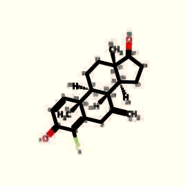 C=C1CC2=C(F)C(=O)C=C[C@]2(C)[C@H]2CC[C@]3(C)C(=O)CC[C@H]3[C@H]12